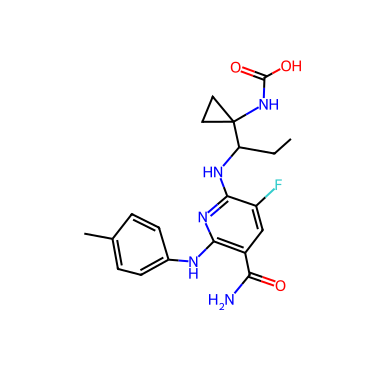 CCC(Nc1nc(Nc2ccc(C)cc2)c(C(N)=O)cc1F)C1(NC(=O)O)CC1